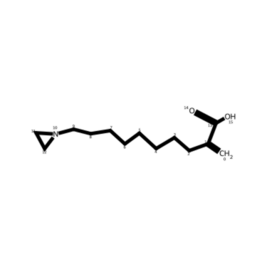 C=C(CCCCCCCCN1CC1)C(=O)O